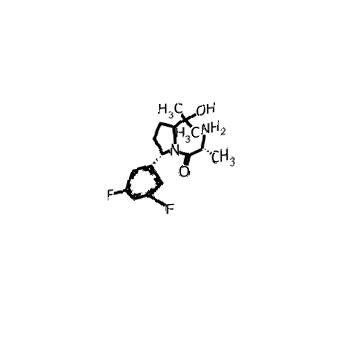 C[C@@H](N)C(=O)N1C(C(C)(C)O)CC[C@H]1c1cc(F)cc(F)c1